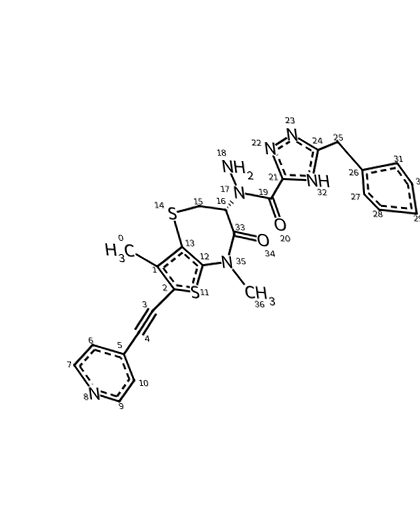 Cc1c(C#Cc2ccncc2)sc2c1SC[C@H](N(N)C(=O)c1nnc(Cc3ccccc3)[nH]1)C(=O)N2C